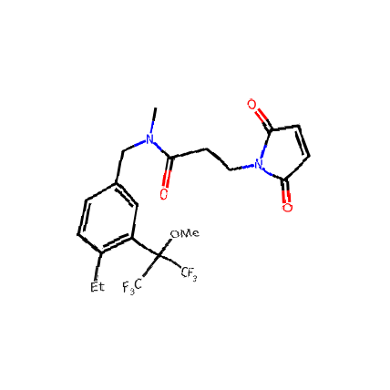 CCc1ccc(CN(C)C(=O)CCN2C(=O)C=CC2=O)cc1C(OC)(C(F)(F)F)C(F)(F)F